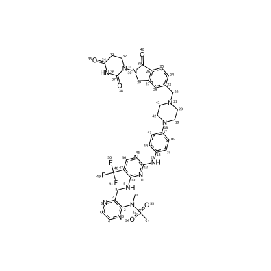 CN(c1nccnc1CNc1nc(Nc2ccc(N3CCN(Cc4ccc5c(c4)CN(N4CCC(=O)NC4=O)C5=O)CC3)cc2)ncc1C(F)(F)F)S(C)(=O)=O